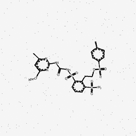 COc1cc(C)nc(NC(=O)NS(=O)(=O)c2cccc(S(N)(=O)=O)c2CCOS(=O)(=O)c2ccc(C)cc2)n1